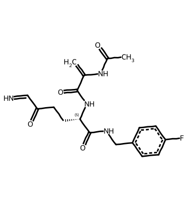 C=C(NC(C)=O)C(=O)N[C@@H](CCC(=O)C=N)C(=O)NCc1ccc(F)cc1